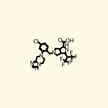 O=C(O)C1NC(C(C(F)(F)F)C(F)(F)F)C2CN(Cc3ccc(Cl)cc3N3CCn4ncnc4C3)CC12